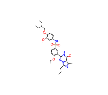 CCCc1nc(C)c2c(=O)[nH]c(-c3cc(S(=O)(=O)Nc4ccc(OCC(CC)CC)c(OC)c4)ccc3OCC)nn12